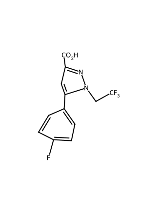 O=C(O)c1cc(-c2ccc(F)cc2)n(CC(F)(F)F)n1